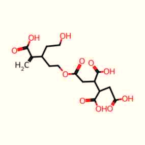 C=C(C(=O)O)C(CCO)CCOC(=O)CC(C(=O)O)C(CC(=O)O)C(=O)O